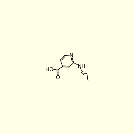 CCSNc1cc(C(=O)O)ccn1